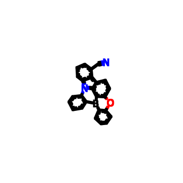 N#Cc1cccc2c1c1ccc3c4c1n2-c1ccccc1B4c1ccccc1O3